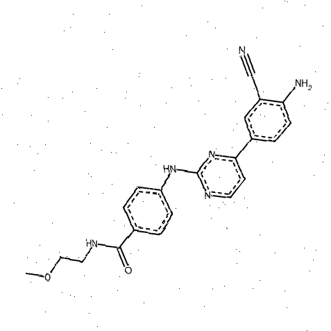 COCCNC(=O)c1ccc(Nc2nccc(-c3ccc(N)c(C#N)c3)n2)cc1